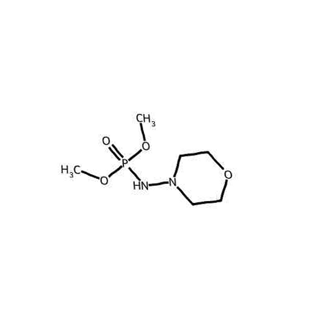 COP(=O)(NN1CCOCC1)OC